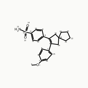 COc1ccc(C2=C(c3ccc(S(N)(=O)=O)cc3)CC3(CCCC3)C2)cc1